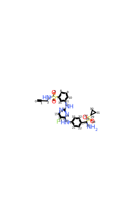 C#CCNS(=O)(=O)c1cccc(Nc2ncc(F)c(Nc3ccc(C(N)S(=O)(=O)C4CC4)cc3)n2)c1